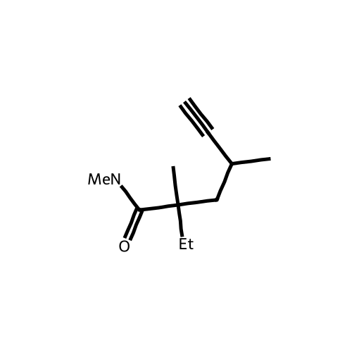 C#CC(C)CC(C)(CC)C(=O)NC